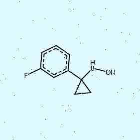 OBC1(c2cccc(F)c2)CC1